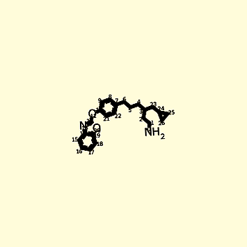 NCCC(CCCc1ccc(Oc2nc3ccccc3o2)cc1)CC1CC1